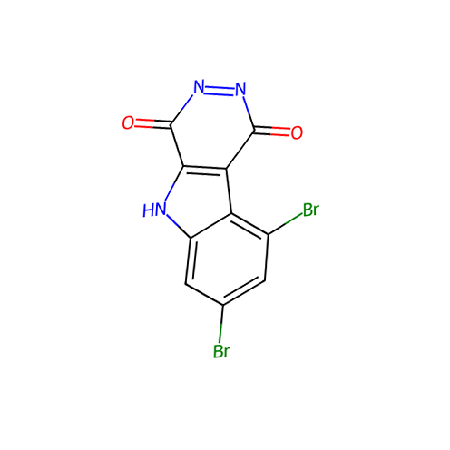 O=C1N=NC(=O)c2c1[nH]c1cc(Br)cc(Br)c21